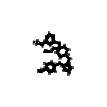 COCC1(Cc2cccc(OC(F)(F)F)c2)CCN(Cc2cncn2Cc2ccc(C#N)cc2)CC1